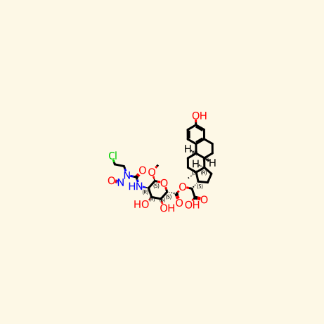 CO[C@H]1O[C@H](C(=O)OC(C(=O)O)[C@H]2CC[C@@H]3[C@H]4CCc5cc(O)ccc5[C@@H]4CC[C@]23C)[C@@H](O)[C@H](O)[C@H]1NC(=O)N(CCCl)N=O